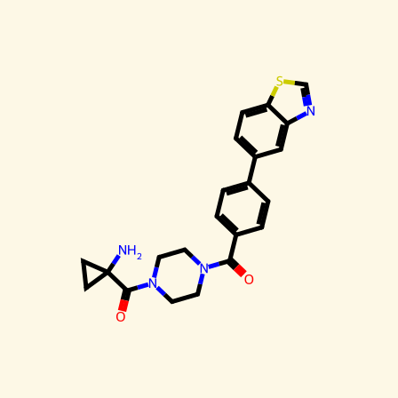 NC1(C(=O)N2CCN(C(=O)c3ccc(-c4ccc5scnc5c4)cc3)CC2)CC1